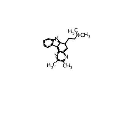 Cc1nc2c(nc1C)=C1C(=Nc3ccccc31)C(CCN(C)C)C=2